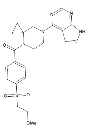 COCCS(=O)(=O)c1ccc(C(=O)N2CCN(c3ncnc4[nH]ccc34)CC23CC3)cc1